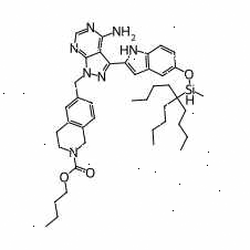 CCCCOC(=O)N1CCc2cc(Cn3nc(-c4cc5cc(O[SiH](C)C(CCCC)(CCCC)CCCC)ccc5[nH]4)c4c(N)ncnc43)ccc2C1